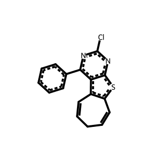 Clc1nc(-c2ccccc2)c2c3c(sc2n1)C=CCC=C3